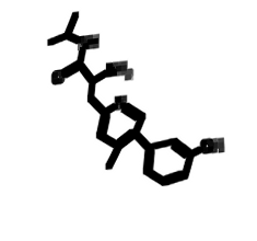 Cc1cc(CC(N)C(=O)NC(C)C)ncc1-c1cccc(O)c1